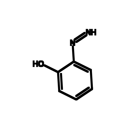 N=Nc1ccccc1O